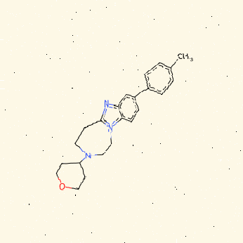 Cc1ccc(-c2ccc3c(c2)nc2n3CCN(C3CCOCC3)CC2)cc1